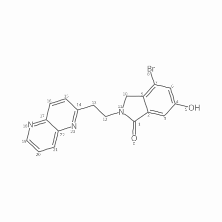 O=C1c2cc(O)cc(Br)c2CN1CCc1ccc2ncccc2n1